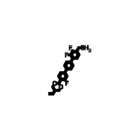 BCc1ccc(-c2ccc(-c3ccc(C4OCC(C=C)CO4)c(F)c3)cc2)c(F)c1F